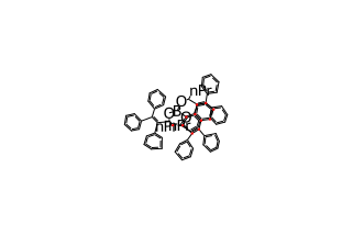 CCCC(OB(OC(CCC)C(=C(c1ccccc1)c1ccccc1)c1ccccc1)OC(CCC)C(=C(c1ccccc1)c1ccccc1)c1ccccc1)C(=C(c1ccccc1)c1ccccc1)c1ccccc1